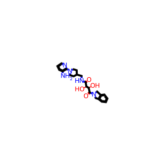 Nc1cccnc1N1CCC(CNC(=O)[C@H](O)[C@@H](O)C(=O)N2Cc3ccccc3C2)CC1